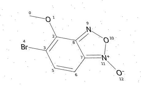 COc1c(Br)ccc2c1no[n+]2[O-]